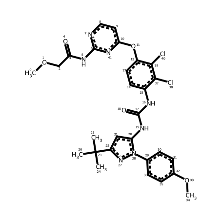 COCC(=O)Nc1nccc(Oc2ccc(NC(=O)Nc3cc(C(C)(C)C)nn3-c3ccc(OC)cc3)c(Cl)c2Cl)n1